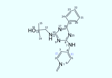 C=N/C=C\C(=C/C)Nc1nc(NCC(C)(C)O)nc(-c2ccccc2)n1